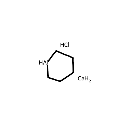 C1C[CH2][AlH][CH2]C1.Cl.[CaH2]